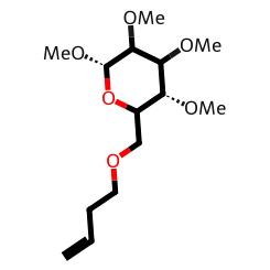 C=CCCOCC1O[C@H](OC)C(OC)C(OC)[C@@H]1OC